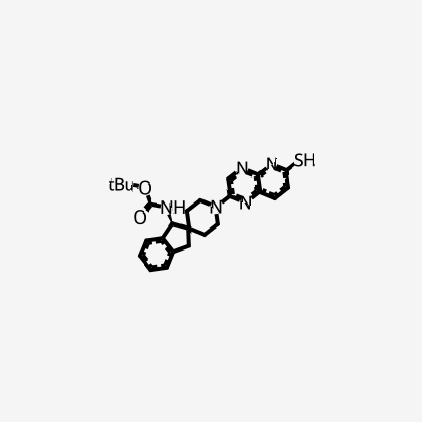 CC(C)(C)OC(=O)N[C@@H]1c2ccccc2CC12CCN(c1cnc3nc(S)ccc3n1)CC2